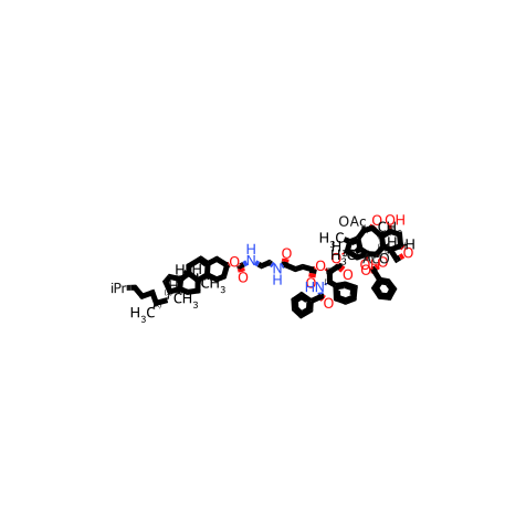 CC(=O)O[C@H]1C(=O)[C@@]2(C)[C@H]([C@H](OC(=O)c3ccccc3)[C@]3(O)C[C@H](OC(=O)[C@H](OC(=O)CCC(=O)NCCNC(=O)OC4CC[C@@]5(C)C(=CC[C@H]6[C@@H]7CC[C@@H](C[C@H](C)CCCC(C)C)[C@@]7(C)CC[C@@H]65)C4)[C@@H](NC(=O)c4ccccc4)c4ccccc4)C(C)=C1C3(C)C)[C@]1(OC(C)=O)CO[C@@H]1C[C@@H]2O